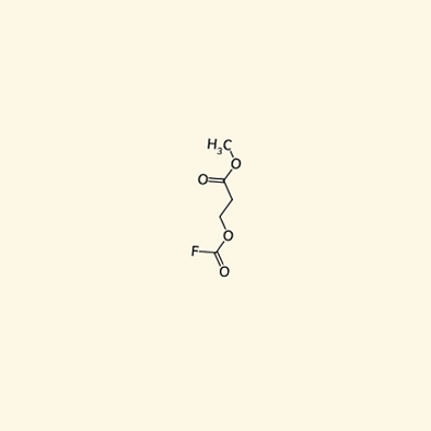 COC(=O)CCOC(=O)F